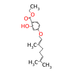 CCOC(=O)c1ccc(OC/C=C(\C)CCC=C(C)C)cc1O